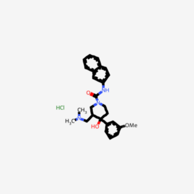 COc1cccc(C2(O)CCN(C(=O)Nc3ccc4ccccc4c3)CC2CN(C)C)c1.Cl